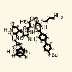 CCCCc1ccc(-c2ccc(C(=O)N[C@@H](CCCCN)C(=O)N[C@H](C(=O)N[C@@H](N)C(=O)NC(CC(N)=O)C(=O)NCB3OC4C[C@@H]5C[C@@H](C5(C)C)[C@]4(C)O3)C(C)O)cc2)cc1